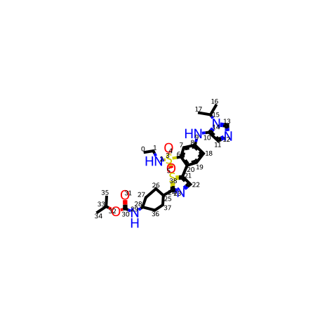 CCNS(=O)(=O)c1cc(Nc2cncn2C(C)C)ccc1-c1cnc(C2CCC(NC(=O)OC(C)C)CC2)s1